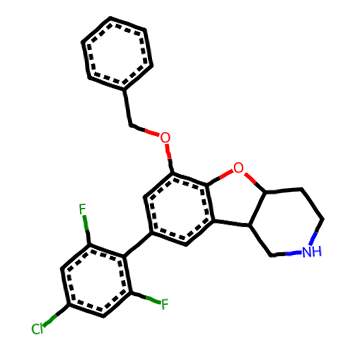 Fc1cc(Cl)cc(F)c1-c1cc(OCc2ccccc2)c2c(c1)C1CNCCC1O2